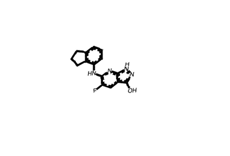 Oc1n[nH]c2nc(Nc3cccc4c3CCC4)c(F)cc12